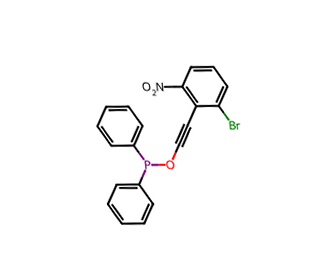 O=[N+]([O-])c1cccc(Br)c1C#COP(c1ccccc1)c1ccccc1